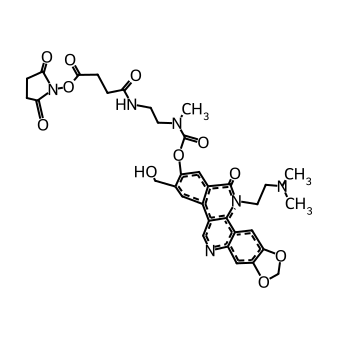 CN(C)CCn1c(=O)c2cc(OC(=O)N(C)CCNC(=O)CCC(=O)ON3C(=O)CCC3=O)c(CO)cc2c2cnc3cc4c(cc3c21)OCO4